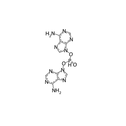 Nc1ncnc2c1ncn2O[PH](=O)On1cnc2c(N)ncnc21